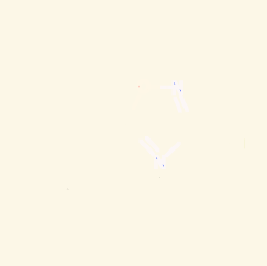 Sc1noc(C2CCC2)n1